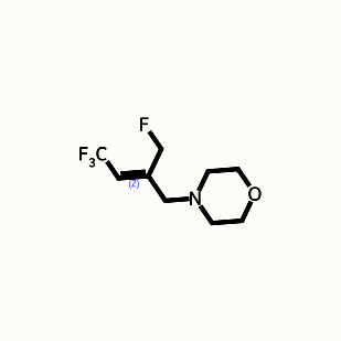 FC/C(=C\C(F)(F)F)CN1CCOCC1